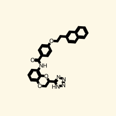 O=C(Nc1cccc2c1OC(c1nnn[nH]1)CO2)c1ccc(OCCc2ccc3ccccc3c2)cc1